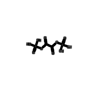 O=C(OP(=O)(O)O)C(=O)OP(=O)(O)O